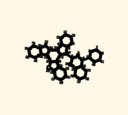 c1ccc(-c2nc(-n3c4ccccc4c4c5sc6ccccc6c5c5oc6ccccc6c5c43)nc3ccccc23)cc1